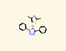 Cc1csc(C)n1.c1ccc(-c2nn[n+](-c3ccccc3)[nH]2)cc1